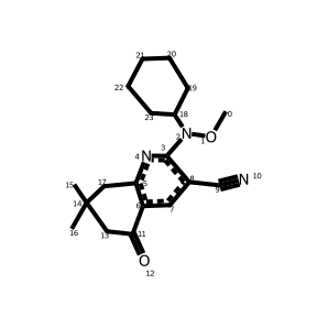 CON(c1nc2c(cc1C#N)C(=O)CC(C)(C)C2)C1CCCCC1